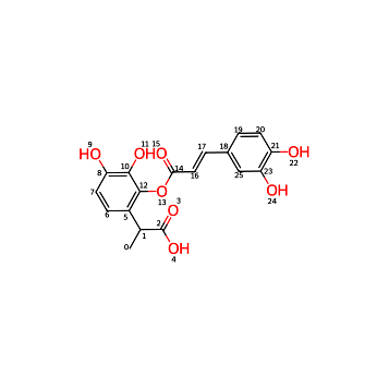 CC(C(=O)O)c1ccc(O)c(O)c1OC(=O)C=Cc1ccc(O)c(O)c1